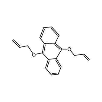 C=CCOc1c2ccccc2c(OCC=C)c2ccccc12